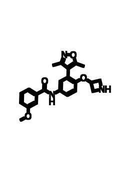 COc1cccc(C(=O)Nc2ccc(OC3CNC3)c(-c3c(C)noc3C)c2)c1